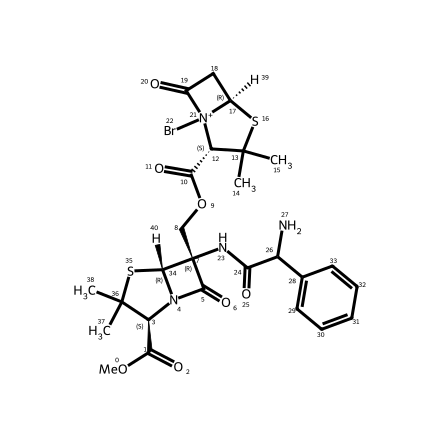 [CH2]OC(=O)[C@@H]1N2C(=O)[C@@](COC(=O)[C@H]3C(C)(C)S[C@@H]4CC(=O)[N+]43Br)(NC(=O)C(N)c3ccccc3)[C@H]2SC1(C)C